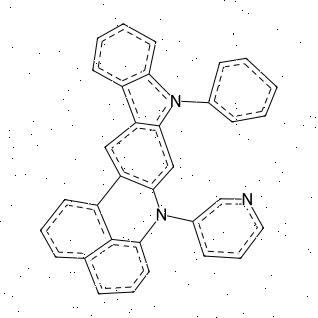 c1ccc(-n2c3ccccc3c3cc4c(cc32)N(c2cccnc2)c2cccc3cccc-4c23)cc1